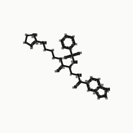 O=C(NCC(NS(=O)(=O)c1ccccc1)C(=O)OCCCNC1=NCCN1)c1ccc2[nH]ncc2c1